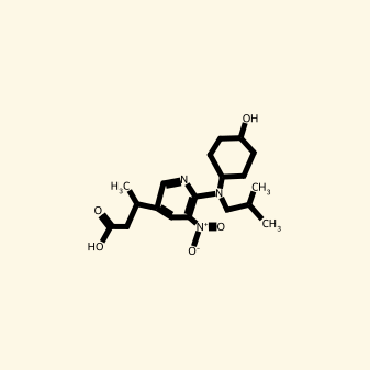 CC(C)CN(c1ncc(C(C)CC(=O)O)cc1[N+](=O)[O-])C1CCC(O)CC1